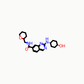 O=C(NCC1CCCCO1)c1ccc2cnc(N[C@H]3CC[C@H](O)CC3)nc2c1